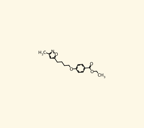 CCOC(=O)c1ccc(OCCCCc2cc(C)no2)cc1